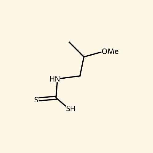 COC(C)CNC(=S)S